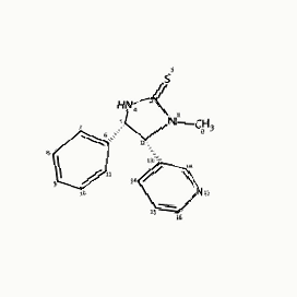 CN1C(=S)N[C@@H](c2ccccc2)[C@H]1c1cccnc1